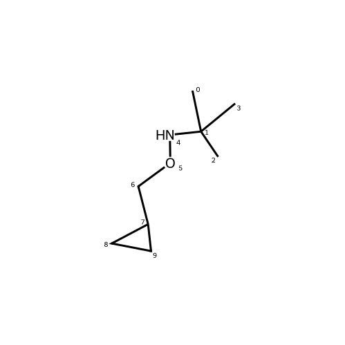 CC(C)(C)NOCC1CC1